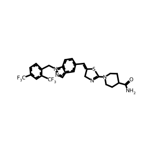 NC(=O)C1CCN(C2=NCC(=Cc3ccc4c(cnn4Cc4ccc(C(F)(F)F)cc4C(F)(F)F)c3)S2)CC1